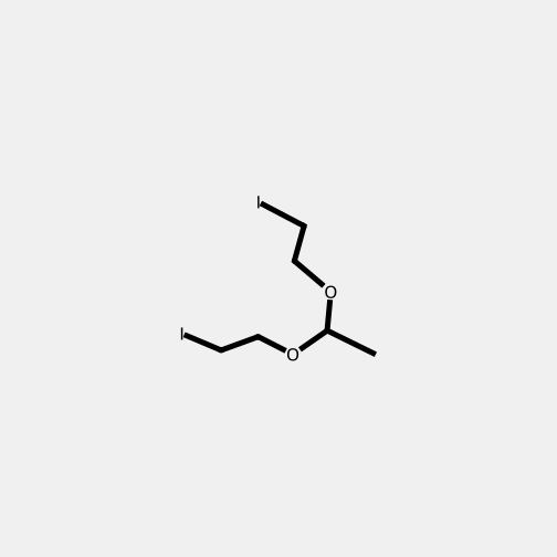 CC(OCCI)OCCI